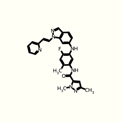 Cc1cc(C(=O)Nc2cc(Nc3ccc4cnn(C=Cc5ccccn5)c4c3)c(F)cc2C)n(C)n1